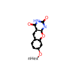 CCCCCCOc1ccc2cc3c(=O)[nH]c(=O)nc-3oc2c1